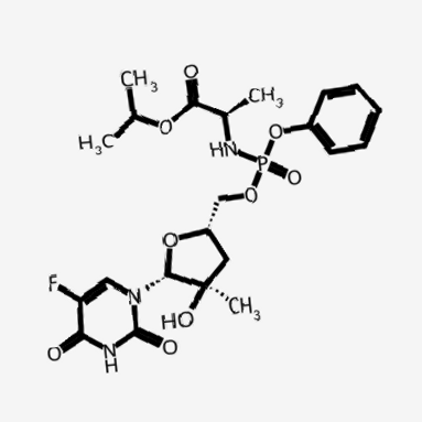 CC(C)OC(=O)[C@@H](C)NP(=O)(OC[C@@H]1C[C@@](C)(O)[C@H](n2cc(F)c(=O)[nH]c2=O)O1)Oc1ccccc1